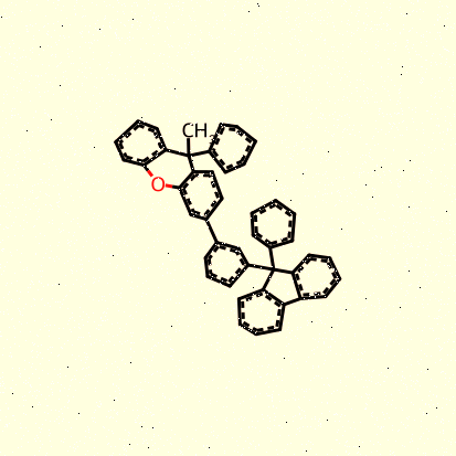 CC1(c2ccccc2)c2ccccc2Oc2cc(-c3cccc(C4(c5ccccc5)c5ccccc5-c5ccccc54)c3)ccc21